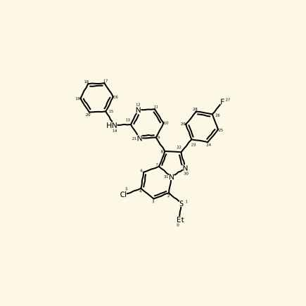 CCSc1cc(Cl)cc2c(-c3ccnc(Nc4ccccc4)n3)c(-c3ccc(F)cc3)nn12